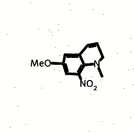 COc1cc2c(c([N+](=O)[O-])c1)N(C)CC=C2